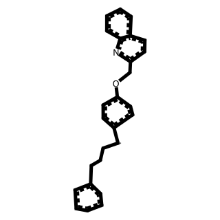 [CH](CCCc1ccccc1)c1ccc(OCc2ccc3ccccc3n2)cc1